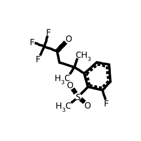 CC(C)(CC(=O)C(F)(F)F)c1cccc(F)c1S(C)(=O)=O